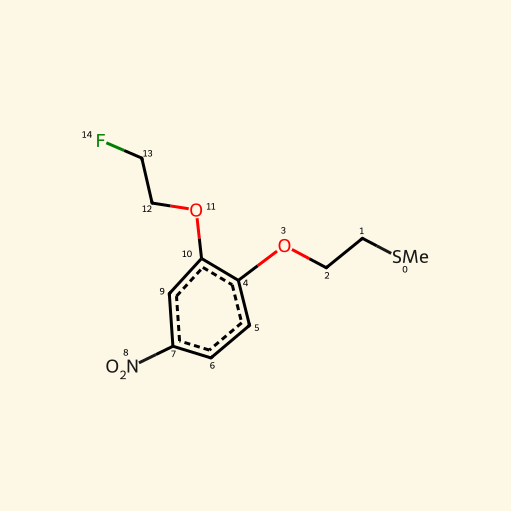 CSCCOc1ccc([N+](=O)[O-])cc1OCCF